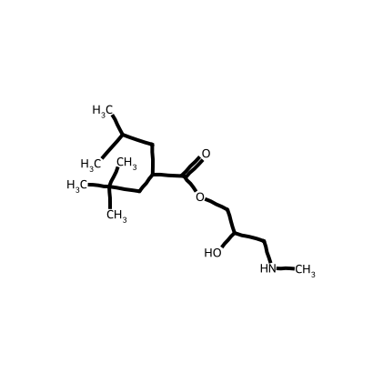 CNCC(O)COC(=O)C(CC(C)C)CC(C)(C)C